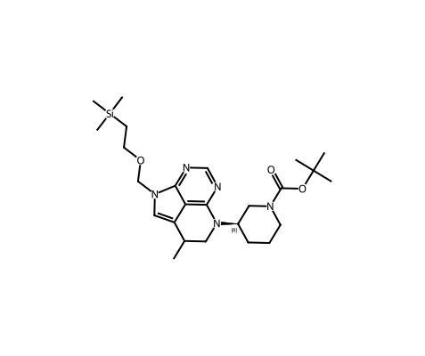 CC1CN([C@@H]2CCCN(C(=O)OC(C)(C)C)C2)c2ncnc3c2c1cn3COCC[Si](C)(C)C